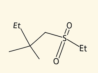 CCC(C)(C)CS(=O)(=O)CC